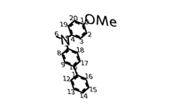 COc1ccc(N(C)c2ccc(-c3ccccc3)cc2)cc1